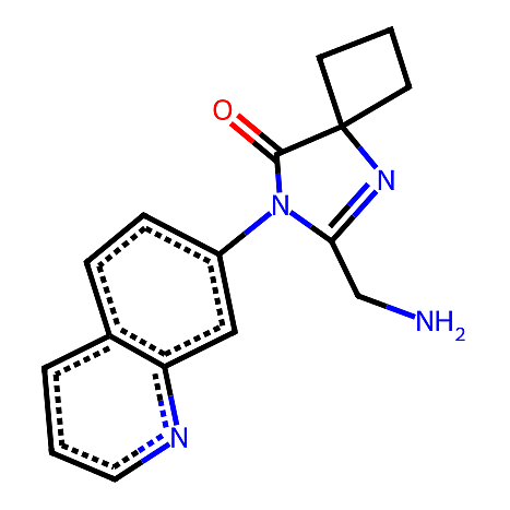 NCC1=NC2(CCC2)C(=O)N1c1ccc2cccnc2c1